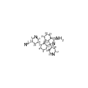 N#Cc1cncc(-c2cccc(C3(c4ccncc4)N=C(N)c4ccccc43)c2)c1